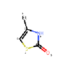 CCc1csc(=O)[nH]1